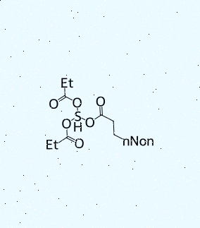 CCCCCCCCCCCC(=O)O[SH](OC(=O)CC)OC(=O)CC